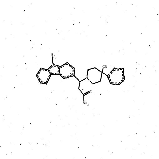 CCn1c2ccccc2c2cc(C(CC(N)=O)N3CCC(C#N)(c4ccccc4)CC3)ccc21